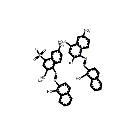 O=[N+]([O-])c1ccc2c(/N=N/c3ccc4ccccc4c3O)c(O)cc(S(=O)(=O)O)c2c1.O=[N+]([O-])c1ccc2c(/N=N/c3ccc4ccccc4c3O)c(O)cc(S(=O)(=O)[O-])c2c1.[Na+]